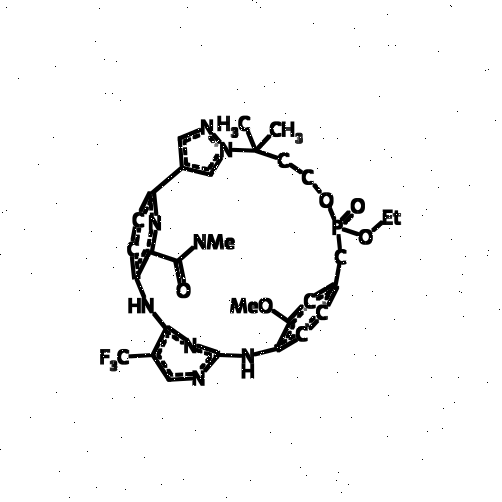 CCOP1(=O)Cc2ccc(c(OC)c2)Nc2ncc(C(F)(F)F)c(n2)Nc2ccc(nc2C(=O)NC)-c2cnn(c2)C(C)(C)CCO1